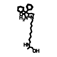 CC(CO)NCCCCCCCCCN1CCC(C(C(N)=O)(c2ccccc2)c2ccccc2)C1